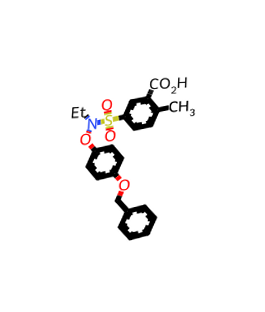 CCN(Oc1ccc(OCc2ccccc2)cc1)S(=O)(=O)c1ccc(C)c(C(=O)O)c1